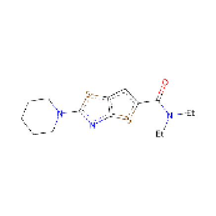 CCN(CC)C(=O)c1cc2sc(N3CCCCC3)nc2s1